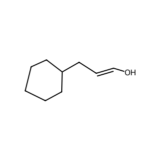 OC=CCC1CCCCC1